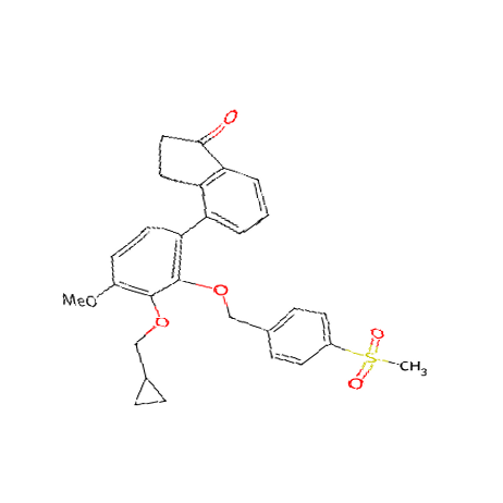 COc1ccc(-c2cccc3c2CCC3=O)c(OCc2ccc(S(C)(=O)=O)cc2)c1OCC1CC1